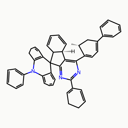 C[C@@H]1CC(c2ccccc2)=CC=C1c1nc(C2=CCCC=C2)nc2c1[C@@H]1C=CC=CC1C21C2=C(CCC=C2)N(c2ccccc2)c2ccccc21